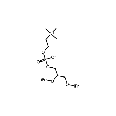 CC(C)OC[C@H](COP(=O)([O-])OCC[N+](C)(C)C)OC(C)C